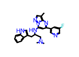 Cc1cnn2c(NC(Cc3c[nH]c4ccccc34)CN(C)C)cc(-c3cncc(F)c3)nc12